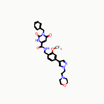 O=C(NCc1ccc(-c2cnn(CCN3CCOCC3)c2)cc1OC(F)(F)F)c1cc(=O)n(Cc2ccccc2)c(=O)[nH]1